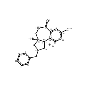 O=C1NC[C@H]2CN(Cc3ccccc3)C[C@@H]2c2ccc(Cl)cc21